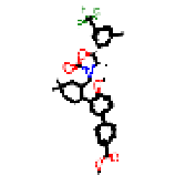 COC(=O)c1ccc(-c2ccc(OC)c(C3=C(CN4C(=O)O[C@H](c5cc(C)cc(C(F)(F)F)c5)[C@@H]4C)CC(C)(C)CC3)c2)cc1